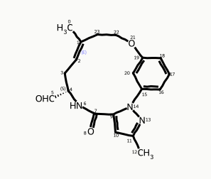 C/C1=C\C[C@@H](C=O)NC(=O)c2cc(C)nn2-c2cccc(c2)OCC1